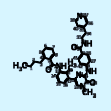 CCCCc1ccccc1C(=O)Nc1cccc(-c2cn(C)c(=O)c(Nc3ccc(C(=O)NCCc4ccncc4)cc3)n2)c1C